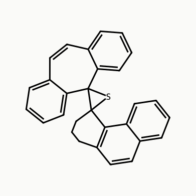 C1=Cc2ccccc2C2(SC23CCCc2ccc4ccccc4c23)c2ccccc21